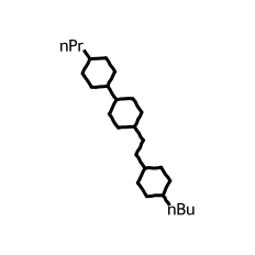 CCCCC1CCC(CCC2CCC(C3CCC(CCC)CC3)CC2)CC1